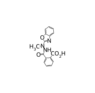 CN(NC(=O)c1ccccc1C(=O)O)c1nc2ccccc2o1